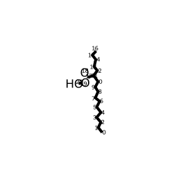 CCCCCCCCCCCC(CCCCC)C(=O)OO